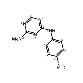 CNc1ncnc(Nc2ccc(N)cc2)n1